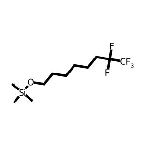 C[Si](C)(C)OCCCCCCC(F)(F)C(F)(F)F